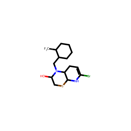 OC1CSC2NC(Br)=CCC2N1CC1CCCCC1C(F)(F)F